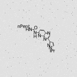 CCCCCNC(=O)Nc1ccc2ncc(-c3ccn(C(C)C)n3)nc2n1